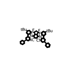 CC(C)(C)c1ccc2c(c1)c1cc(-c3ccccc3)ccc1n2-c1c(C#N)c(C#N)c(-n2c3ccc(-c4ccccc4)cc3c3cc(C(C)(C)C)ccc32)c2c1C(F)(F)CC2(F)F